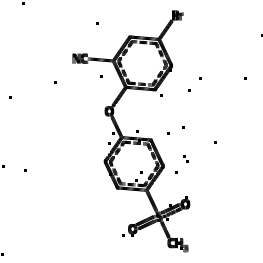 CS(=O)(=O)c1ccc(Oc2ccc(Br)cc2C#N)cc1